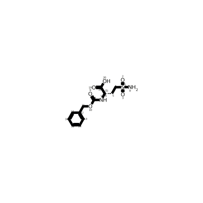 NS(=O)(=O)CC[C@H](NC(=O)OCc1ccccc1)C(=O)O